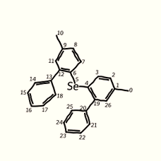 Cc1ccc([Se]c2ccc(C)cc2-c2ccccc2)c(-c2ccccc2)c1